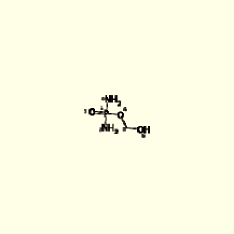 NP(N)(=O)OCO